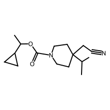 CC(OC(=O)N1CCC(CC#N)(C(C)C)CC1)C1CC1